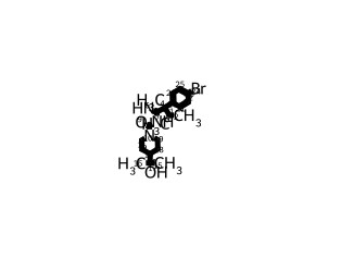 CC(C)C(C)(C(=N)NC(=O)N1CCC(C(C)(C)O)CC1)c1ccc(Br)cc1